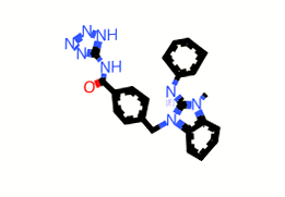 Cn1/c(=N\c2ccccc2)n(Cc2ccc(C(=O)Nc3nnn[nH]3)cc2)c2ccccc21